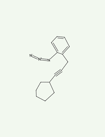 [N-]=[N+]=Nc1ccccc1CC#CC1CCCCC1